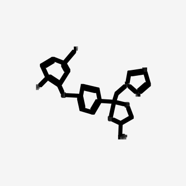 CCCC1COC(Cn2cncn2)(c2ccc(Oc3cc(F)ccc3F)cc2)O1